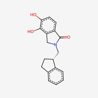 O=C1c2ccc(O)c(O)c2CN1C[C@H]1CCc2ccccc21